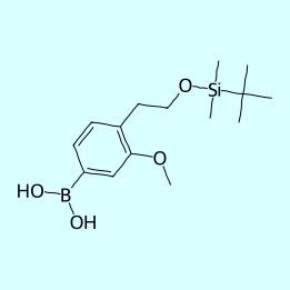 COc1cc(B(O)O)ccc1CCO[Si](C)(C)C(C)(C)C